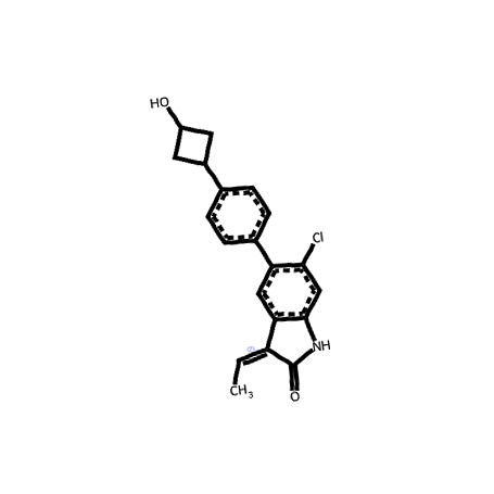 C/C=C1\C(=O)Nc2cc(Cl)c(-c3ccc(C4CC(O)C4)cc3)cc21